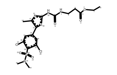 CCOC(=O)CCNC(=O)Nc1nc(C)c(-c2cc(Cl)c(S(=O)(=O)N(C)C)c(Cl)c2)s1